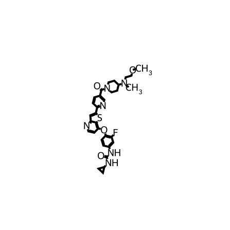 COCCN(C)C1CCN(C(=O)c2ccc(-c3cc4nccc(Oc5ccc(NC(=O)NC6CC6)cc5F)c4s3)nc2)CC1